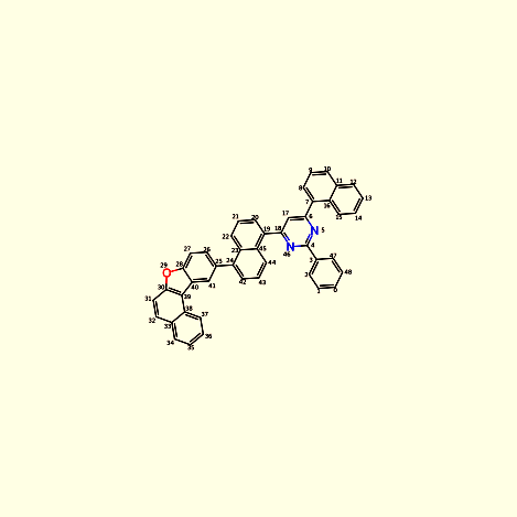 c1ccc(-c2nc(-c3cccc4ccccc34)cc(-c3cccc4c(-c5ccc6oc7ccc8ccccc8c7c6c5)cccc34)n2)cc1